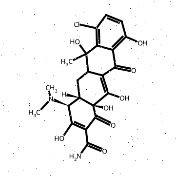 CN(C)[C@@H]1C(O)=C(C(N)=O)C(=O)[C@@]2(O)C(O)=C3C(=O)c4c(O)ccc(Cl)c4C(C)(O)C3C[C@@H]12